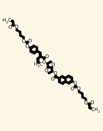 C=CC(=O)OCCCCOC(=O)OC1=CCC(/C=C(\C=C/C)C(=O)O[C@@H]2COC3C2OC[C@H]3OC(=O)c2ccc3cc(OC(=O)OCCCCOC(=O)C=C)ccc3c2)=C=C1